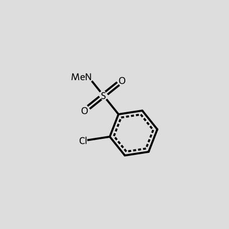 [CH2]NS(=O)(=O)c1ccccc1Cl